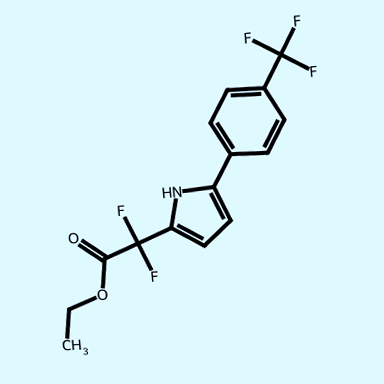 CCOC(=O)C(F)(F)c1ccc(-c2ccc(C(F)(F)F)cc2)[nH]1